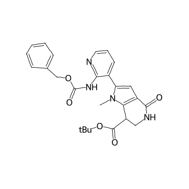 Cn1c(-c2cccnc2NC(=O)OCc2ccccc2)cc2c1C(C(=O)OC(C)(C)C)CNC2=O